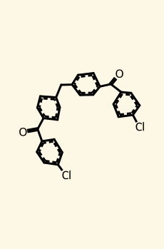 O=C(c1ccc(Cl)cc1)c1ccc(Cc2ccc(C(=O)c3ccc(Cl)cc3)cc2)cc1